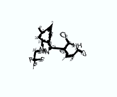 Cc1ccc2c(C3CCC(=O)NC3=O)nn(CC(F)(F)F)c2c1